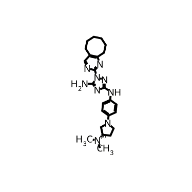 CN(C)[C@@H]1CCN(c2ccc(Nc3nc(N)n(-c4ncc5c(n4)CCCCCC5)n3)cc2)C1